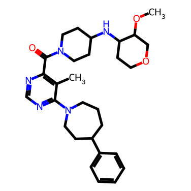 COC1COCCC1NC1CCN(C(=O)c2ncnc(N3CCCC(c4ccccc4)CC3)c2C)CC1